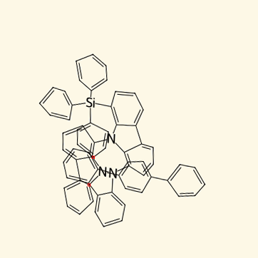 c1ccc(-c2ccc(-n3c4ccccc4c4cccc(-n5c6c(-n7c8ccccc8c8ccccc87)cccc6c6cccc([Si](c7ccccc7)(c7ccccc7)c7ccccc7)c65)c43)cc2)cc1